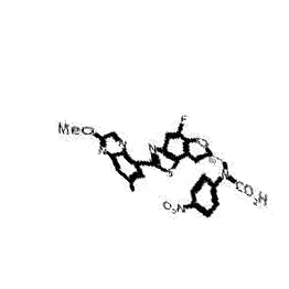 COc1cnc2c(-c3nc4cc(F)c5c(c4s3)C[C@@H](CN(C(=O)O)c3ccc([N+](=O)[O-])cc3)O5)cc(C)cc2n1